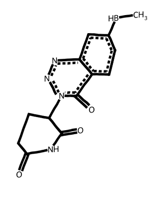 CBc1ccc2c(=O)n(C3CCC(=O)NC3=O)nnc2c1